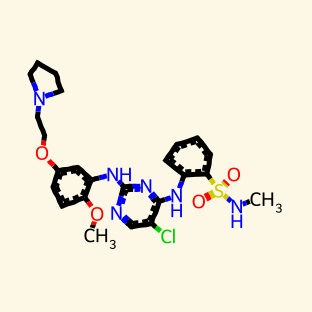 CNS(=O)(=O)c1ccccc1Nc1nc(Nc2cc(OCCN3CCCC3)ccc2OC)ncc1Cl